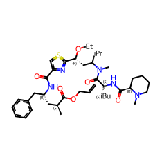 C=CCOC(=O)[C@@H](C)C[C@H](Cc1ccccc1)NC(=O)c1csc([C@@H](CC(C(C)C)N(C)C(=O)[C@@H](NC(=O)[C@H]2CCCCN2C)[C@@H](C)CC)OCC)n1